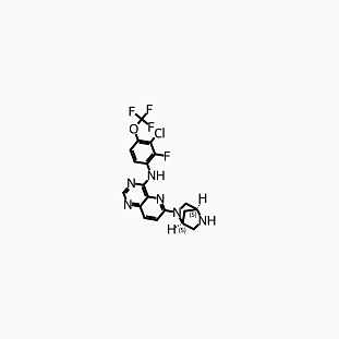 Fc1c(Nc2ncnc3ccc(N4C[C@@H]5C[C@H]4CN5)nc23)ccc(OC(F)(F)F)c1Cl